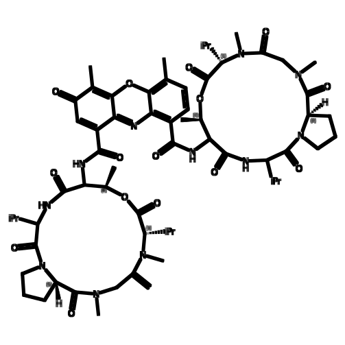 C=C1CN(C)C(=O)[C@@H]2CCCN2C(=O)C(C(C)C)NC(=O)C(NC(=O)c2cc(=O)c(C)c3oc4c(C)ccc(C(=O)NC5C(=O)NC(C(C)C)C(=O)N6CCC[C@@H]6C(=O)N(C)CC(=O)N(C)[C@@H](C(C)C)C(=O)O[C@@H]5C)c4nc2-3)[C@@H](C)OC(=O)[C@H](C(C)C)N1C